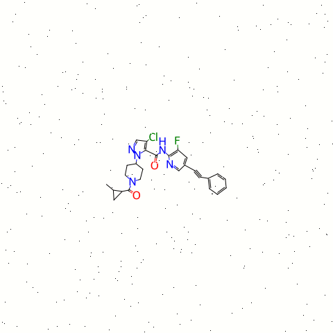 CC1CC1C(=O)N1CCC(n2ncc(Cl)c2C(=O)Nc2ncc(C#Cc3ccccc3)cc2F)CC1